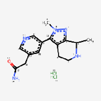 CC1NCCc2c1nn(C)c2-c1cncc(CC(N)=O)c1.Cl.Cl